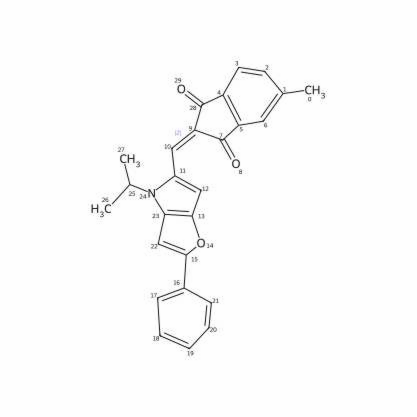 Cc1ccc2c(c1)C(=O)/C(=C\c1cc3oc(-c4ccccc4)cc3n1C(C)C)C2=O